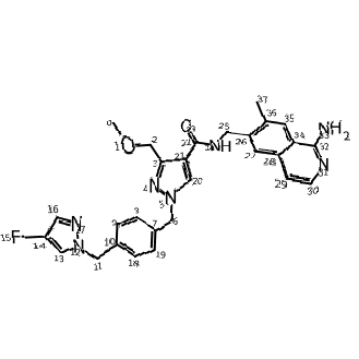 COCc1nn(Cc2ccc(Cn3cc(F)cn3)cc2)cc1C(=O)NCc1cc2ccnc(N)c2cc1C